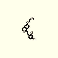 CC(C)CCOc1ccc2c(c1)CCN=C2/C=C/c1ccc(Cl)cc1Cl